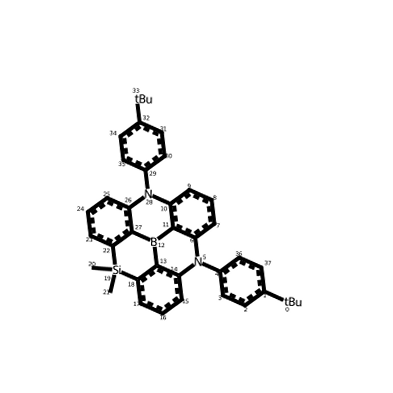 CC(C)(C)c1ccc(N2c3cccc4c3B3c5c2cccc5[Si](C)(C)c2cccc(c23)N4c2ccc(C(C)(C)C)cc2)cc1